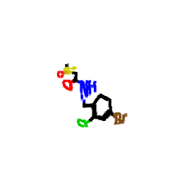 C[S+]([O-])CC(=O)NCc1ccc(Br)cc1Cl